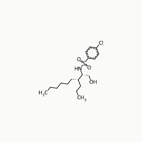 CCCCCC[C@@H](CCC)[C@@H](CO)NS(=O)(=O)c1ccc(Cl)cc1